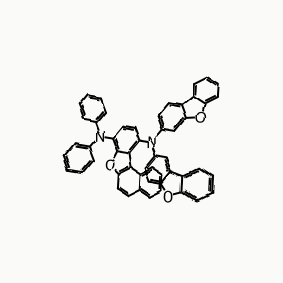 c1ccc(N(c2ccccc2)c2ccc(N(c3ccc4c(c3)oc3ccccc34)c3ccc4oc5ccccc5c4c3)c3c2oc2ccc4ccccc4c23)cc1